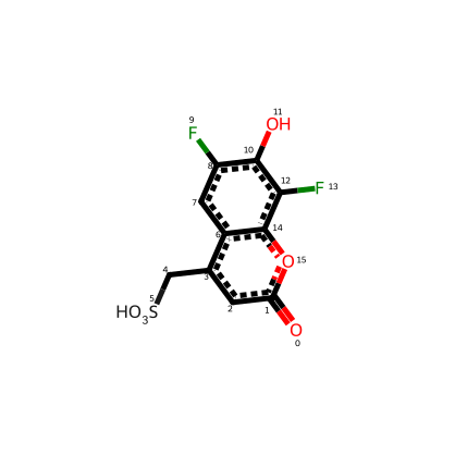 O=c1cc(CS(=O)(=O)O)c2cc(F)c(O)c(F)c2o1